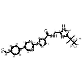 CC(C)(c1n[nH]c(CNC(=O)c2cnn(-c3ncc(-c4ccc(C=O)cc4)cn3)c2)n1)C(F)(F)F